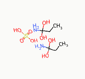 CCC(N)(O)O.CCC(N)(O)O.O=S(=O)(O)O